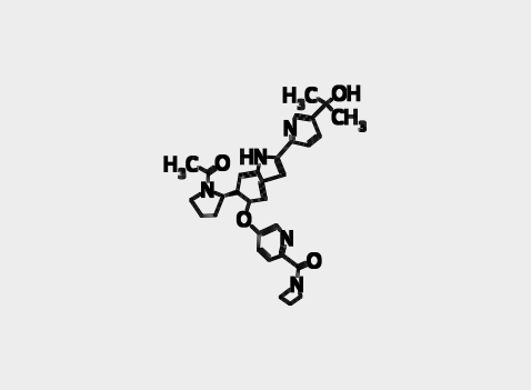 CC(=O)N1CCC[C@@H]1C1C=c2[nH]c(-c3ccc(C(C)(C)O)cn3)cc2=CC1Oc1ccc(C(=O)N2CCC2)nc1